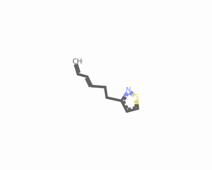 [CH]=CC=CCCc1ccsn1